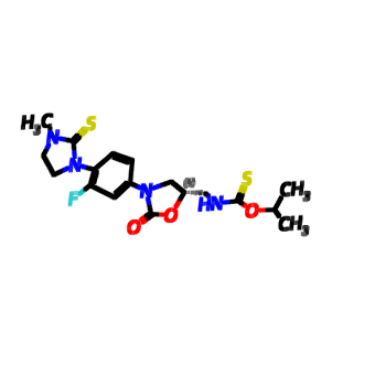 CC(C)OC(=S)NC[C@H]1CN(c2ccc(N3CCN(C)C3=S)c(F)c2)C(=O)O1